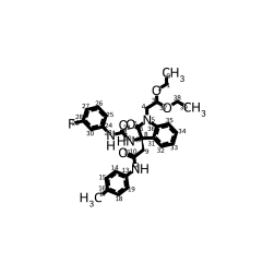 CCOC(CN1C(=O)[C@@](CC(=O)Nc2ccc(C)cc2)(NC(=O)Nc2cccc(F)c2)c2ccccc21)OCC